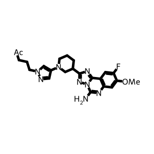 COc1cc2nc(N)n3nc(C4CCCN(c5cnn(CCCC(C)=O)c5)C4)nc3c2cc1F